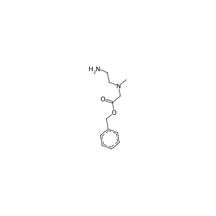 CN(CCN)CC(=O)OCc1ccccc1